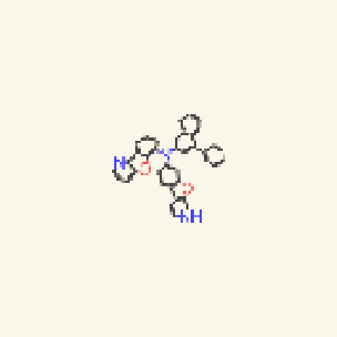 C1=Cc2c(oc3cc(N(c4cc(-c5ccccc5)c5ccccc5c4)c4cccc5c4oc4cccnc45)ccc23)CN1